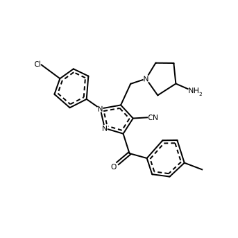 Cc1ccc(C(=O)c2nn(-c3ccc(Cl)cc3)c(CN3CCC(N)C3)c2C#N)cc1